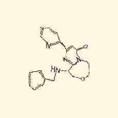 O=c1cc(-c2ccncn2)nc2n1CCOCC2NCc1ccccc1